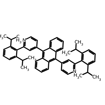 CC(C)c1cccc(C(C)C)c1-c1cc(-c2c3ccccc3c(-c3ccnc(-c4c(C(C)C)cccc4C(C)C)c3)c3ccccc23)ccn1